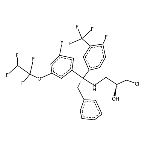 O[C@H](CCl)CN[C@@](Cc1ccccc1)(c1cc(F)cc(OC(F)(F)C(F)F)c1)c1ccc(F)c(C(F)(F)F)c1